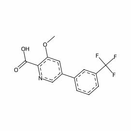 COc1cc(-c2cccc(C(F)(F)F)c2)cnc1C(=O)O